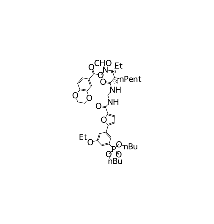 CCCCC[C@@H](C(=O)NCNC(=O)c1ccc(-c2cc(OCC)cc(P(=O)(OCCCC)OCCCC)c2)o1)[C@@H](CC)N(C=O)OC(=O)c1ccc2c(c1)OCCO2